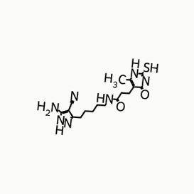 Cc1[nH]c(S)nc(=O)c1CCC(=O)NCCCCCc1n[nH]c(N)c1C#N